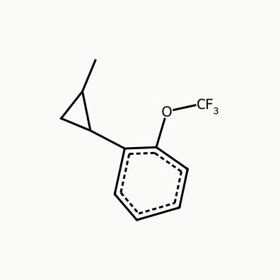 CC1CC1c1ccccc1OC(F)(F)F